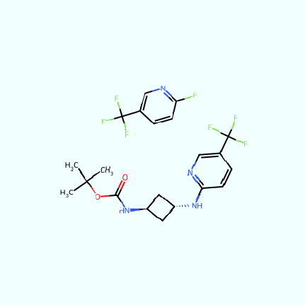 CC(C)(C)OC(=O)N[C@H]1C[C@H](Nc2ccc(C(F)(F)F)cn2)C1.Fc1ccc(C(F)(F)F)cn1